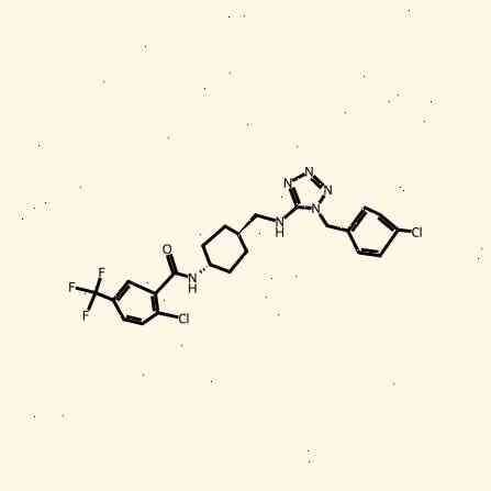 O=C(N[C@H]1CC[C@H](CNc2nnnn2Cc2ccc(Cl)cc2)CC1)c1cc(C(F)(F)F)ccc1Cl